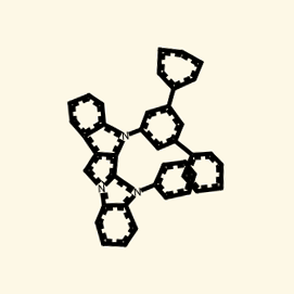 c1ccc(-c2cc(-c3ccccc3)cc(-n3c4ccccc4c4cn5c6ccccc6n(-c6ccccc6)c5c43)c2)cc1